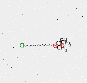 CC1=C(OCCCCCCCCCCCCCCCCCl)CCC(C)(C)C1=O